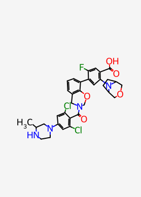 CC1CN(c2cc(Cl)c(C(=O)N3COc4c(cccc4-c4cc(N5C6CCC5COC6)c(C(=O)O)cc4F)C3)c(Cl)c2)CCN1